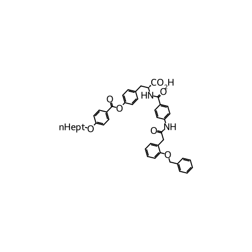 CCCCCCCOc1ccc(C(=O)Oc2ccc(C[C@H](NC(=O)c3ccc(NC(=O)Cc4ccccc4OCc4ccccc4)cc3)C(=O)O)cc2)cc1